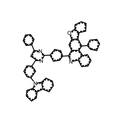 c1ccc(-c2cc(-c3cccc(-n4c5ccccc5c5ccccc54)c3)nc(-c3ccc(-c4nc5ccccc5c5c(-c6ccccc6)c6c(cc45)oc4ccccc46)cc3)n2)cc1